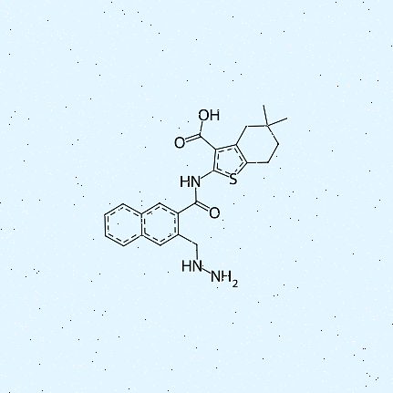 CC1(C)CCc2sc(NC(=O)c3cc4ccccc4cc3CNN)c(C(=O)O)c2C1